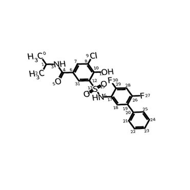 CC(C)NC(=O)c1cc(Cl)c(O)c(S(=O)(=O)Nc2cc(-c3ccccc3)c(F)cc2F)c1